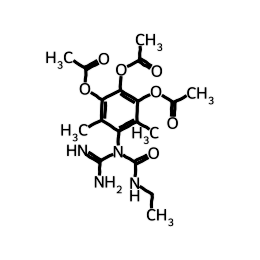 CCNC(=O)N(C(=N)N)c1c(C)c(OC(C)=O)c(OC(C)=O)c(OC(C)=O)c1C